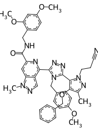 COc1ccc(Cn2c(-c3nc(C(=O)NCc4ccc(OC)cc4OC)cc4c3cnn4C)nnc2-c2c(OCc3ccccc3)c(C)nn2CCC#N)cc1